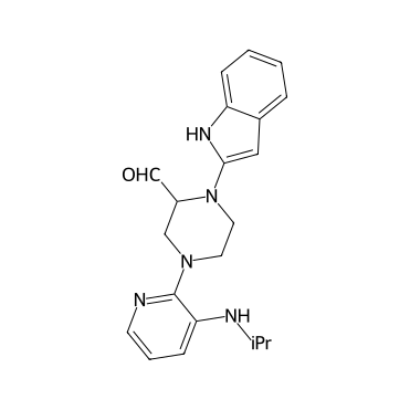 CC(C)Nc1cccnc1N1CCN(c2cc3ccccc3[nH]2)C(C=O)C1